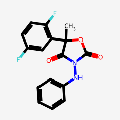 CC1(c2cc(F)ccc2F)OC(=O)N(Nc2ccccc2)C1=O